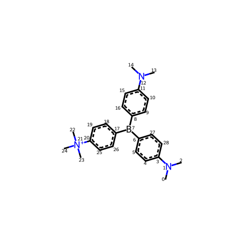 CN(C)c1ccc(B(c2ccc(N(C)C)cc2)c2ccc([N+](C)(C)C)cc2)cc1